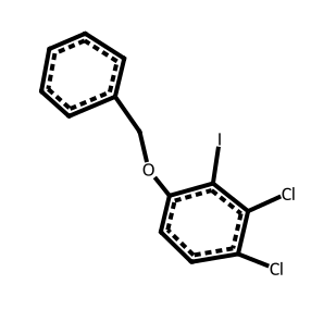 Clc1ccc(OCc2ccccc2)c(I)c1Cl